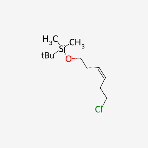 CC(C)(C)[Si](C)(C)OCC/C=C\CCCl